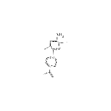 C=C(C)c1ccc(-c2cc(C)c(N)cc2C)cc1